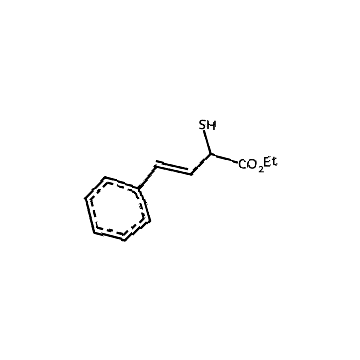 CCOC(=O)C(S)C=Cc1ccccc1